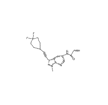 C=CC(=O)Nc1cnc2c(c1)c(C#CC1CCC(F)(F)CC1)cn2C